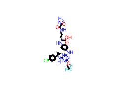 NC(=O)C(=O)NCCC[C@H](Nc1ccc(Nc2nc(NC3(c4ccc(Cl)cc4)CC3)nc(OCC(F)(F)F)n2)cc1)C(=O)O